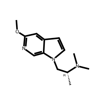 COc1cc2ccn(C[C@@H](C)N(C)C)c2cn1